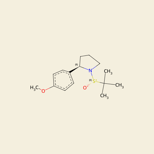 COc1ccc([C@H]2CCCN2[S@@+]([O-])C(C)(C)C)cc1